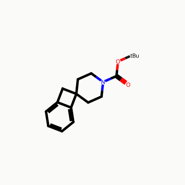 CC(C)(C)OC(=O)N1CCC2(CC1)Cc1ccccc12